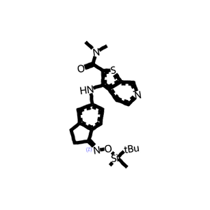 CN(C)C(=O)c1sc2cnccc2c1Nc1ccc2c(c1)CC/C2=N/O[Si](C)(C)C(C)(C)C